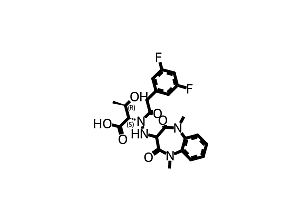 C[C@@H](O)[C@@H](C(=O)O)N(NC1C(=O)N(C)c2ccccc2N(C)C1=O)C(=O)Cc1cc(F)cc(F)c1